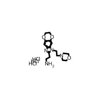 Cl.Cl.Cl.NCCc1nc2cc3c(cc2n1CCN1CCOCC1)OCCO3